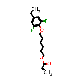 C=CC(=O)OCCCCCCOc1c(F)cc(CC)cc1F